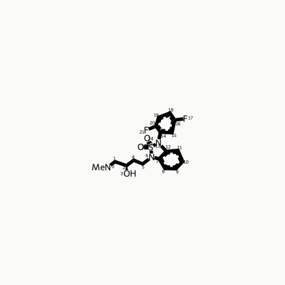 CNC[C@H](O)CCN1c2ccccc2N(c2cc(F)ccc2F)S1(=O)=O